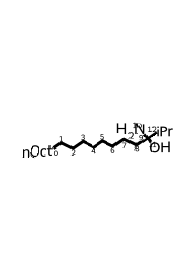 CCCCCCCCCCCCCCCCC(N)(O)C(C)C